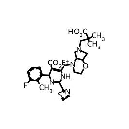 CCOC(=O)C1=C(CN2CCOC3CN(CC(C)(C)C(=O)O)CC32)NC(c2nccs2)=NC1c1cccc(F)c1C